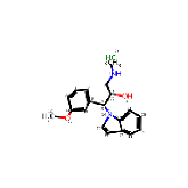 CNC[C@@H](O)[C@H](c1cccc(OC)c1)n1ccc2ccccc21.Cl